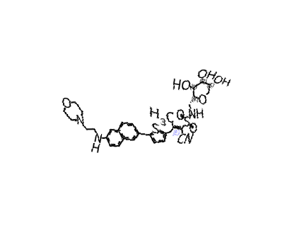 C/C(=C(/C#N)S(=O)(=O)NC[C@H]1OC[C@H](O)[C@@H](O)[C@@H]1O)c1ccc(-c2ccc3cc(NCCN4CCOCC4)ccc3c2)s1